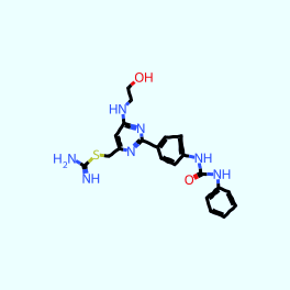 N=C(N)SCc1cc(NCCO)nc(-c2ccc(NC(=O)Nc3ccccc3)cc2)n1